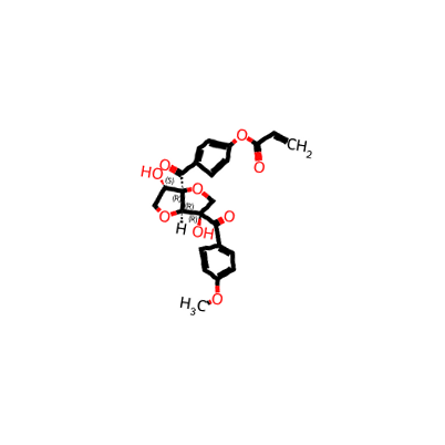 C=CC(=O)Oc1ccc(C(=O)[C@]23OC[C@](O)(C(=O)c4ccc(OC)cc4)[C@H]2OC[C@@H]3O)cc1